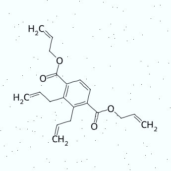 C=CCOC(=O)c1ccc(C(=O)OCC=C)c(CC=C)c1CC=C